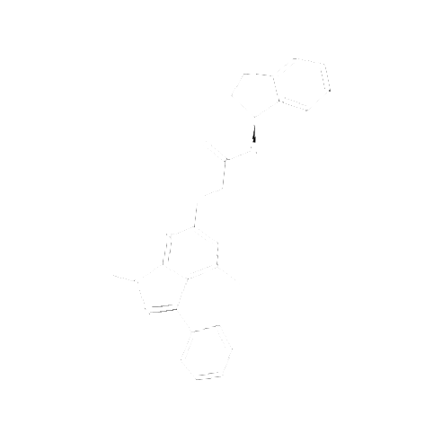 Cn1nc(-c2ccccc2)c2c(C(F)(F)F)cc(OCC(=O)N[C@H]3CCc4ccccc43)nc21